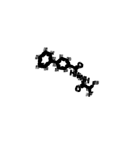 O=C(NNC(=O)C(F)F)c1ccc(-c2ccccc2)cc1